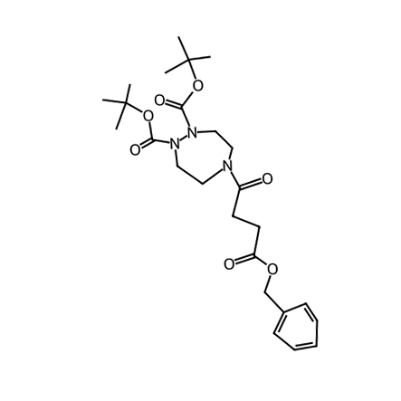 CC(C)(C)OC(=O)N1CCN(C(=O)CCC(=O)OCc2ccccc2)CCN1C(=O)OC(C)(C)C